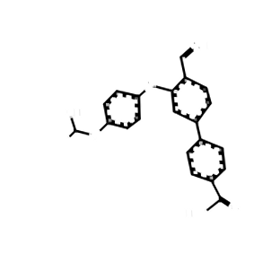 CC(=O)c1ccc(-c2ccc(C=N)c(Nc3ccc(OC(C)C)cc3)c2)cc1